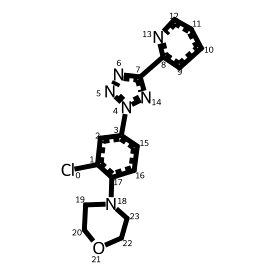 Clc1cc(-n2nnc(-c3ccccn3)n2)ccc1N1CCOCC1